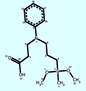 CO[Si](C)(CCCN(CCC(=O)O)c1ccccc1)OC